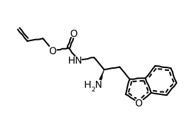 C=CCOC(=O)NC[C@H](N)Cc1coc2ccccc12